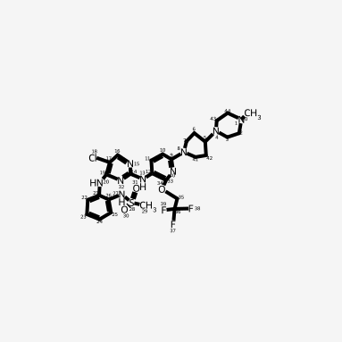 CN1CCN(C2CCN(c3ccc(Nc4ncc(Cl)c(Nc5ccccc5NS(C)(=O)=O)n4)c(OCC(F)(F)F)n3)CC2)CC1